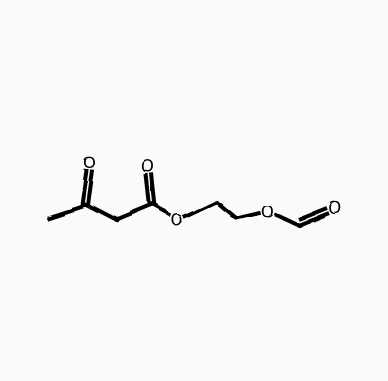 CC(=O)CC(=O)OCCOC=O